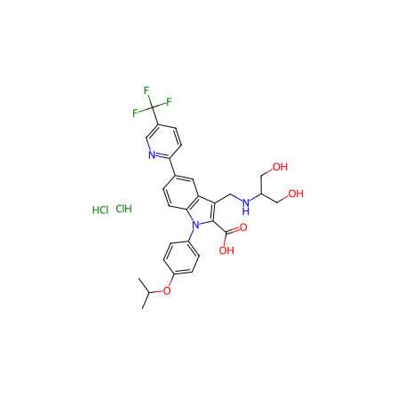 CC(C)Oc1ccc(-n2c(C(=O)O)c(CNC(CO)CO)c3cc(-c4ccc(C(F)(F)F)cn4)ccc32)cc1.Cl.Cl